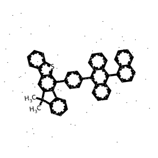 CC1(C)c2ccccc2-c2c1cc1c(sc3ccccc31)c2-c1ccc(-c2c3ccccc3c(-c3cccc4ccccc34)c3ccccc23)cc1